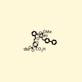 COC(=O)N[C@@H](Cc1ccc(-c2ccccc2)cc1)C(=O)Nc1ccccc1CC[C@@H]1CN(C(=O)OC(C)(C)C)[C@H](C(=O)O)CO1